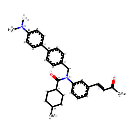 COC(=O)/C=C/c1cccc(N(Cc2ccc(-c3ccc(N(C)C)cc3)cc2)C(=O)C2CCC(OC)CC2)c1